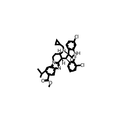 COC(=O)c1cc2nc3n(c2cc1C(C)C)CC[C@H]1[C@@H]3[C@H](c2cccc(Cl)c2F)[C@]2(C(=O)Nc3cc(Cl)ccc32)N1CC1CC1